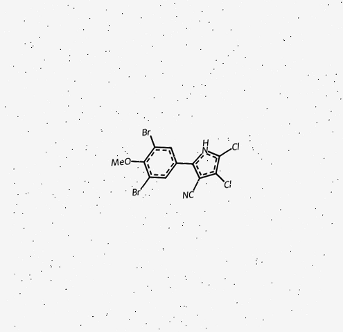 COc1c(Br)cc(-c2[nH]c(Cl)c(Cl)c2C#N)cc1Br